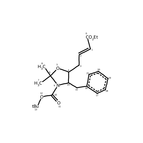 CCOC(=O)/C=C/CC1OC(C)(C)N(C(=O)OC(C)(C)C)C1Cc1ccccc1